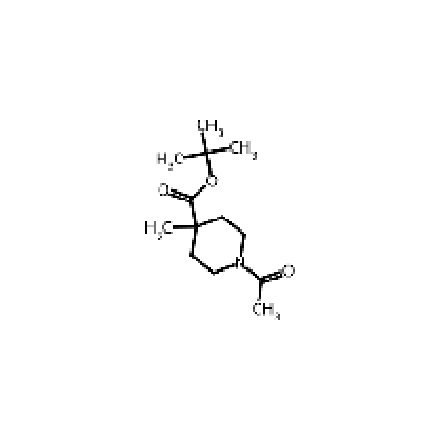 CC(=O)N1CCC(C)(C(=O)OC(C)(C)C)CC1